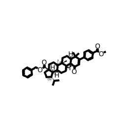 COC(=O)c1ccc(C2=CC(=O)[C@]3(C)[C@H]4CC[C@@H]5[C@H]6[C@H](C(C)C)CC[C@]6(C(=O)OCc6ccccc6)CC[C@@]5(C)[C@]4(C)CC[C@H]3C2(C)C)cc1